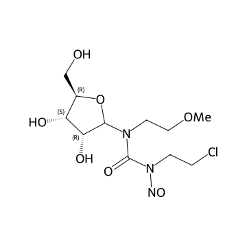 COCCN(C(=O)N(CCCl)N=O)C1O[C@H](CO)[C@@H](O)[C@H]1O